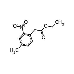 CCOC(=O)Cc1ccc(C)cc1[N+](=O)[O-]